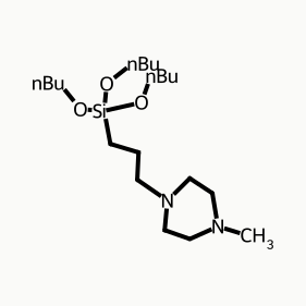 CCCCO[Si](CCCN1CCN(C)CC1)(OCCCC)OCCCC